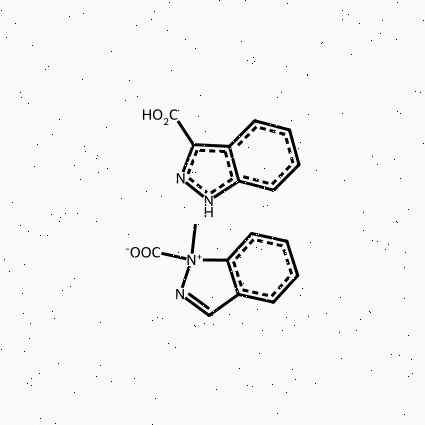 C[N+]1(C(=O)[O-])N=Cc2ccccc21.O=C(O)c1n[nH]c2ccccc12